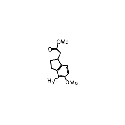 COC(=O)CC1CCc2c1ccc(OC)c2C